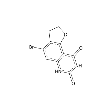 O=c1[nH]c(=O)c2c3c(c(Br)cc2[nH]1)CCO3